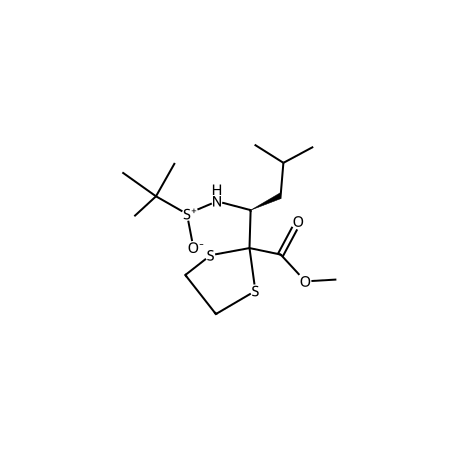 COC(=O)C1([C@H](CC(C)C)N[S+]([O-])C(C)(C)C)SCCS1